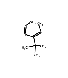 C/N=C(\N=N/N)C(C)(C)C